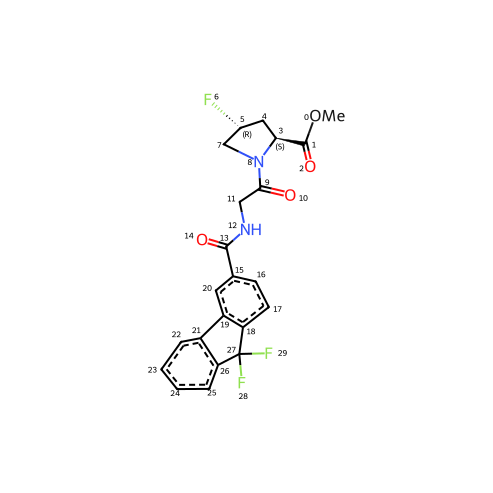 COC(=O)[C@@H]1C[C@@H](F)CN1C(=O)CNC(=O)c1ccc2c(c1)-c1ccccc1C2(F)F